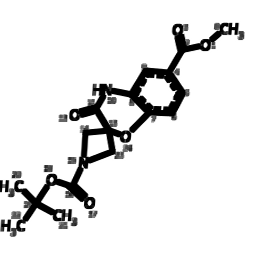 COC(=O)c1ccc2c(c1)NC(=O)C1(CN(C(=O)OC(C)(C)C)C1)O2